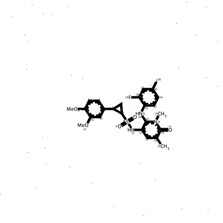 COc1ccc(C2CC2S(=O)(=O)Nc2cc(C)c(=O)n(C)c2Nc2ccc(I)cc2F)cc1OC